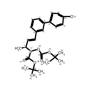 C[C@@H](/C=C/c1cccc(-c2ccc(Cl)cc2)c1)N(OC(=O)OC(C)(C)C)C(=O)OC(C)(C)C